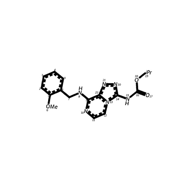 COc1ccccc1CNc1nccn2c(NC(=O)OC(C)C)nnc12